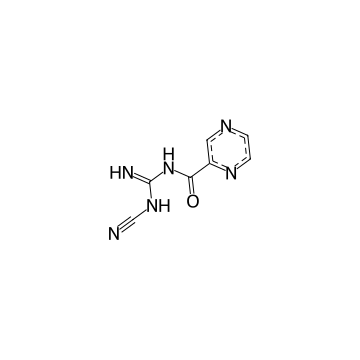 N#CNC(=N)NC(=O)c1cnccn1